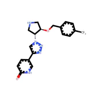 O=c1ccc(-c2cn([C@@H]3CNC[C@H]3OCc3ccc(C(F)(F)F)cc3)nn2)c[nH]1